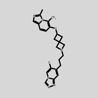 Cc1ncc2ccc(OC3CC4(C3)CN(CCCc3cc5nncn5cc3F)C4)c(C(F)(F)F)n12